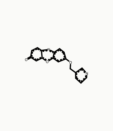 O=c1ccc2nc3ccc(OCc4cccnc4)cc3oc-2c1